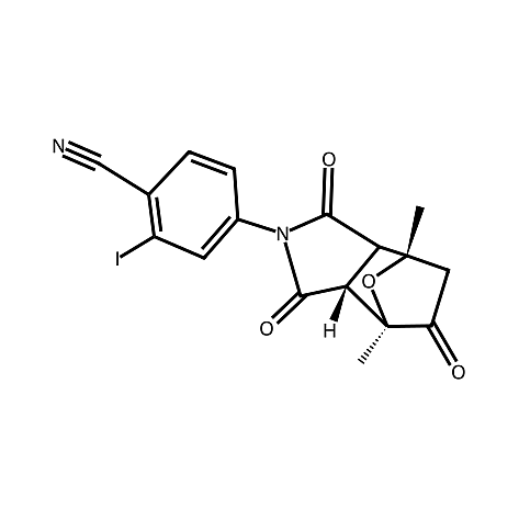 C[C@]12O[C@@](C)(CC1=O)C1C(=O)N(c3ccc(C#N)c(I)c3)C(=O)[C@H]12